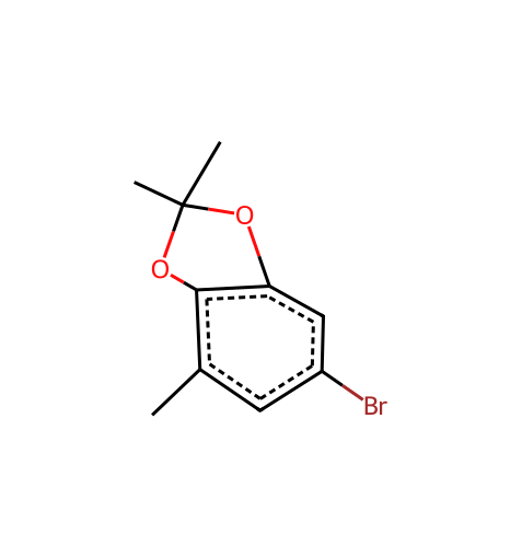 Cc1cc(Br)cc2c1OC(C)(C)O2